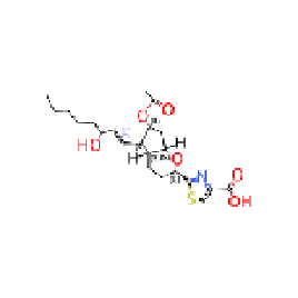 CCCCCC(O)/C=C/[C@@H]1[C@H]2CC[C@H](c3nc(C(=O)O)cs3)O[C@H]2C[C@H]1OC(C)=O